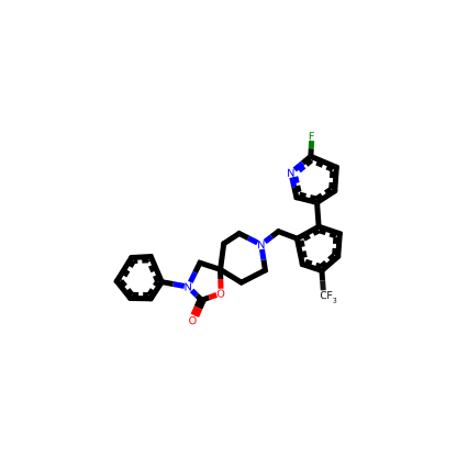 O=C1OC2(CCN(Cc3cc(C(F)(F)F)ccc3-c3ccc(F)nc3)CC2)CN1c1ccccc1